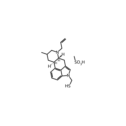 C=CCN1CC(C)C[C@@H]2c3cccc4c3c(cn4CS)C[C@H]21.CS(=O)(=O)O